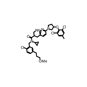 COCCCc1ccc(Cl)c(CN(C(=O)C(CN)Cc2ccc(N3CCC(Oc4c(Cl)cc(C)cc4Cl)C3)nc2)C2CC2)c1